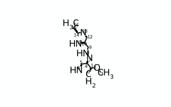 C=C(OC)/C(C=N)=N/NCC(=N)/C=N\C=C/C